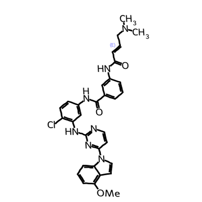 COc1cccc2c1ccn2-c1ccnc(Nc2cc(NC(=O)c3cccc(NC(=O)/C=C/CN(C)C)c3)ccc2Cl)n1